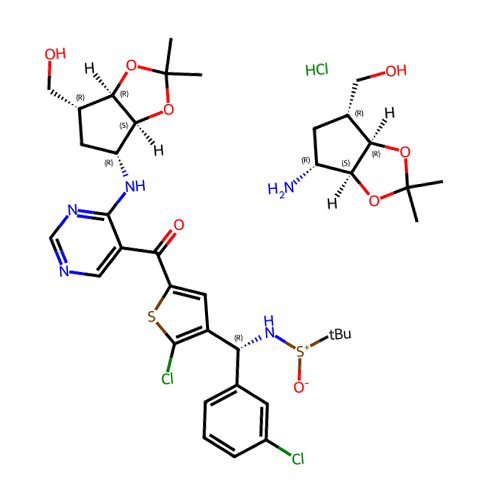 CC1(C)O[C@@H]2[C@@H](CO)C[C@@H](N)[C@@H]2O1.CC1(C)O[C@@H]2[C@@H](CO)C[C@@H](Nc3ncncc3C(=O)c3cc([C@H](N[S+]([O-])C(C)(C)C)c4cccc(Cl)c4)c(Cl)s3)[C@@H]2O1.Cl